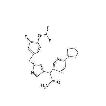 NC(=O)C(c1ccc(N2CCCC2)nc1)c1cnn(Cc2ccc(OC(F)F)c(F)c2)n1